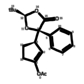 CC(=O)OC1=C[C@H]([C@]2(c3ccccc3)O[C@@H](C(C)(C)C)OC2=O)CC1